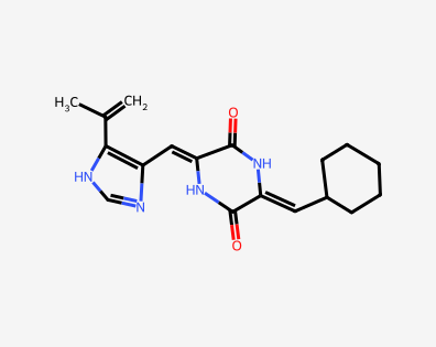 C=C(C)c1[nH]cnc1/C=c1\[nH]c(=O)/c(=C/C2CCCCC2)[nH]c1=O